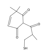 CC(CS)C(=O)C1C(=O)C=CC(C)(C)C1=O